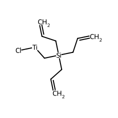 C=CC[Si](CC=C)(CC=C)[CH2][Ti][Cl]